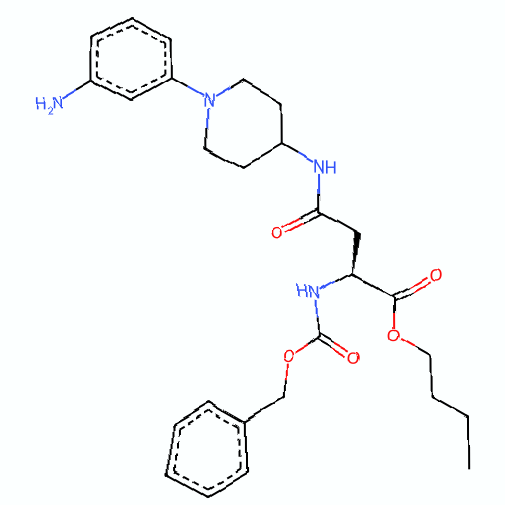 CCCCOC(=O)[C@H](CC(=O)NC1CCN(c2cccc(N)c2)CC1)NC(=O)OCc1ccccc1